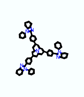 C1=C(c2ccc(-c3nc4ccccc4n3-c3ccccc3)cc2)C=C2C=C(c3ccc(-c4nc5ccccc5n4-c4ccccc4)cc3)C=C3C=C(c4ccc(-c5nc6ccccc6n5-c5ccccc5)cc4)C=C1N23